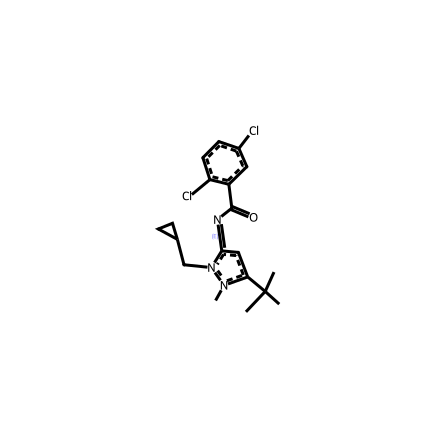 Cn1c(C(C)(C)C)c/c(=N\C(=O)c2cc(Cl)ccc2Cl)n1CC1CC1